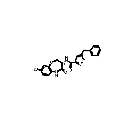 O=C(N[C@H]1COc2cc(O)ccc2NC1=O)c1cc(Cc2ccccc2)on1